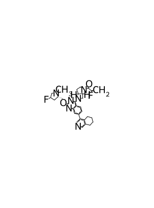 C=C(F)C(=O)N1CC[C@@H]2[C@H]1CN2c1nc(OC[C@@H]2C[C@@H](F)CN2C)nc2cc(-c3cncc4c3CCCC4)ccc12